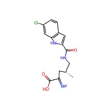 C[C@@H](CNC(=O)c1cc2ccc(Cl)cc2[nH]1)CC(=N)C(=O)O